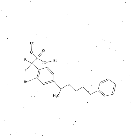 CCOP(=O)(OCC)C(F)(F)c1ccc(C(C)SCCCc2ccccc2)cc1Br